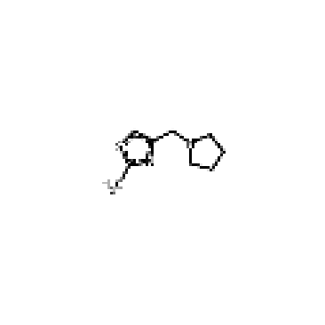 Cc1nc(CN2CCCC2)cs1